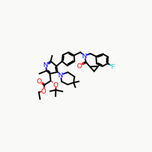 CCOC(=O)[C@@H](OC(C)(C)C)c1c(C)nc(C)c(-c2ccc(CN(Cc3ccc(F)cc3)C(=O)C3CC3)cc2)c1N1CCC(C)(C)CC1